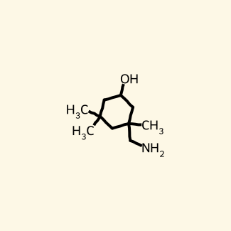 CC1(C)CC(O)CC(C)(CN)C1